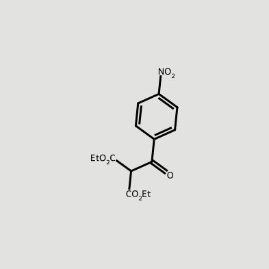 CCOC(=O)C(C(=O)OCC)C(=O)c1ccc([N+](=O)[O-])cc1